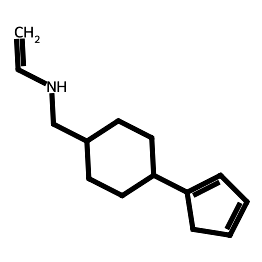 C=CNCC1CCC(C2=CC=CC2)CC1